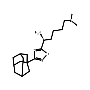 CN(C)CCCC[C@H](N)c1nc(C23CC4CC(CC(C4)C2)C3)no1